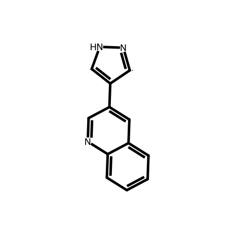 [c]1n[nH]cc1-c1cnc2ccccc2c1